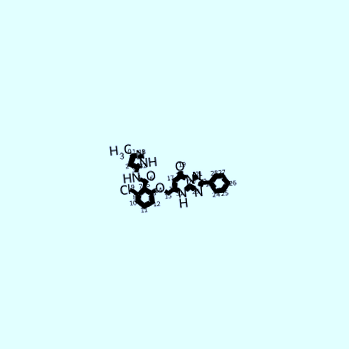 Cc1cc(NC(=O)c2c(Cl)cccc2OCc2cc(=O)n3nc(-c4ccccc4)nc3[nH]2)[nH]n1